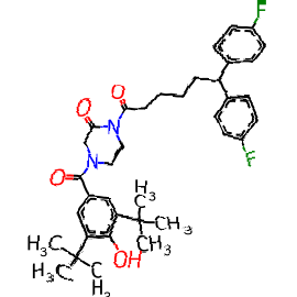 CC(C)(C)c1cc(C(=O)N2CCN(C(=O)CCCCC(c3ccc(F)cc3)c3ccc(F)cc3)C(=O)C2)cc(C(C)(C)C)c1O